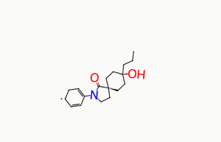 CCC[C@]1(O)CC[C@]2(CCN(C3=CC[CH]C=C3)C2=O)CC1